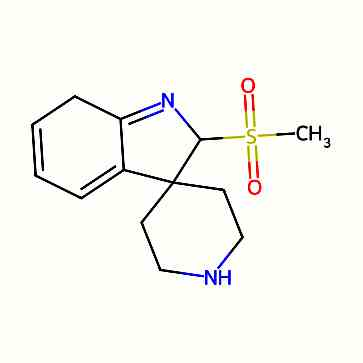 CS(=O)(=O)C1N=C2CC=CC=C2C12CCNCC2